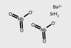 [Ba+2].[O]=[Nb](=[O])[O-].[O]=[Nb](=[O])[O-].[SrH2]